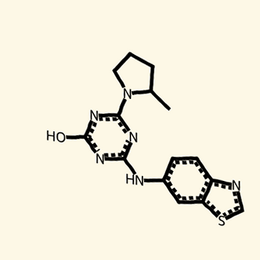 CC1CCCN1c1nc(O)nc(Nc2ccc3ncsc3c2)n1